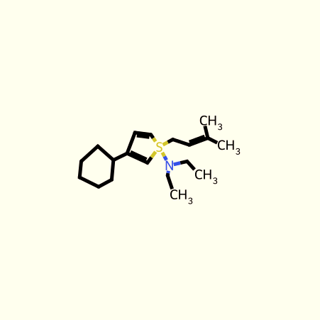 CCN(CC)S1(CC=C(C)C)C=CC(C2CCCCC2)=C1